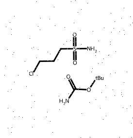 CC(C)(C)OC(N)=O.NS(=O)(=O)CCCCl